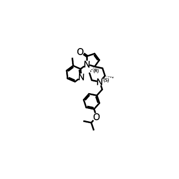 Cc1cccnc1N1C(=O)C=C[C@]12CCN(Cc1cccc(OC(C)C)c1)[C@@H](C)C2